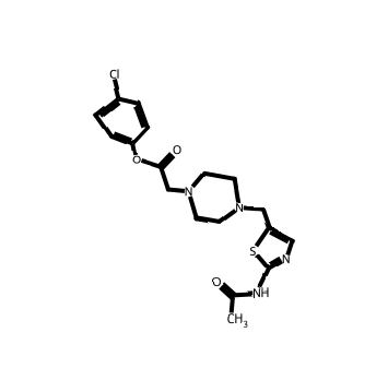 CC(=O)Nc1ncc(CN2CCN(CC(=O)Oc3ccc(Cl)cc3)CC2)s1